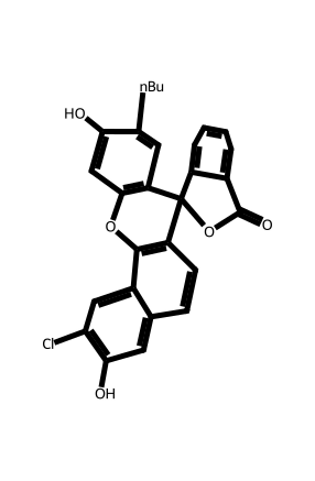 CCCCc1cc2c(cc1O)Oc1c(ccc3cc(O)c(Cl)cc13)C21OC(=O)c2ccccc21